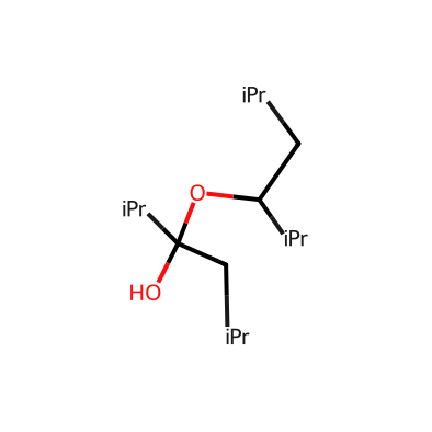 CC(C)CC(OC(O)(CC(C)C)C(C)C)C(C)C